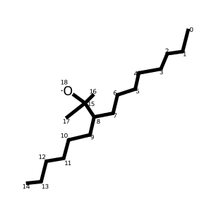 CCCCCCCCC(CCCCCC)C(C)(C)[O]